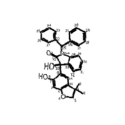 CC1(C)COc2cc(O)c(C3(O)C(=O)N(C(c4ccccc4)c4ccccc4)c4ccccc43)cc21